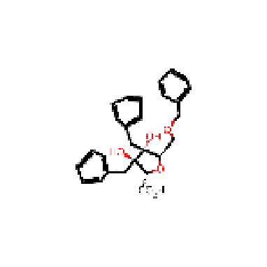 O=C(O)[C@H]1O[C@H](COCc2ccccc2)[C@](O)(Cc2ccccc2)[C@@]1(O)Cc1ccccc1